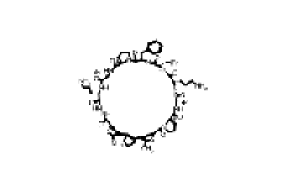 Cc1sc2cc1C1=C(CCC1)c1cc(sc1C)C(=O)N1CCC[C@H]1C(=O)N[C@@H](C(C)C)C(=O)N[C@@H](CCCN)C(=O)N[C@@H](CC(C)C)C(=O)NC(Cc1ccccc1)C(=O)N1CCC[C@H]1C(=O)N[C@@H](C(C)C)C(=O)N[C@@H](CCCN)C(=O)NNC2=O